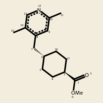 COC(=O)[C@H]1CC[C@H](Cc2cc(C)ncc2C)CC1